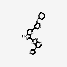 c1cc(-c2ccsc2)c2nc(-c3n[nH]c4ccc(-c5cncc(OC6CCCCC6)c5)nc34)[nH]c2n1